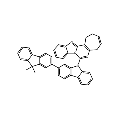 CC1(C)c2ccccc2-c2ccc(-c3ccc4c5ccccc5n(-c5nc6c(c7nc8ccccc8n57)CCC=CC6)c4c3)cc21